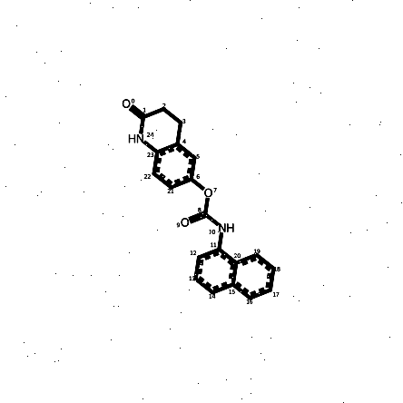 O=C1CCc2cc(OC(=O)Nc3cccc4ccccc34)ccc2N1